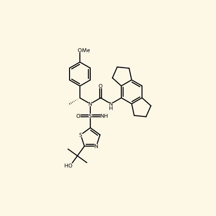 COc1ccc([C@@H](C)N(C(=O)Nc2c3c(cc4c2CCC4)CCC3)S(=N)(=O)c2cnc(C(C)(C)O)s2)cc1